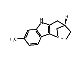 Cc1ccc2c3c([nH]c2c1)C[C@@H]1CC[P@@]3C1